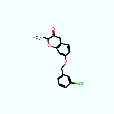 O=C(O)C1Oc2cc(OCc3cccc(Cl)c3)ccc2CC1=O